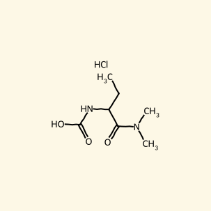 CCC(NC(=O)O)C(=O)N(C)C.Cl